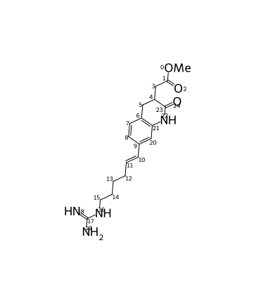 COC(=O)CC1Cc2ccc(/C=C/CCCCNC(=N)N)cc2NC1=O